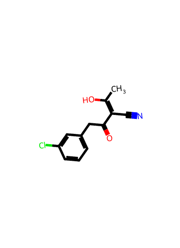 CC(O)=C(C#N)C(=O)Cc1cccc(Cl)c1